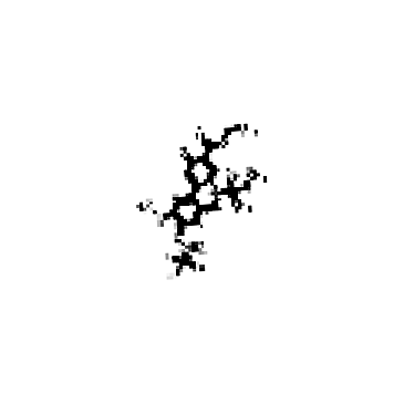 CCOC(=O)c1cn2c(cc1=O)-c1cc(OC)c(OS(=O)C(F)(F)F)cc1CN2C(C)(C)CC